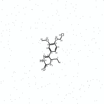 CCC1SC(=O)NN=C1c1ccc(OCCl)c(OC)c1